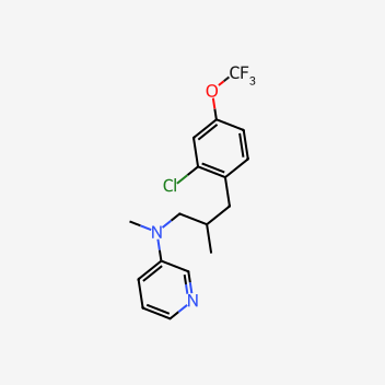 CC(Cc1ccc(OC(F)(F)F)cc1Cl)CN(C)c1cccnc1